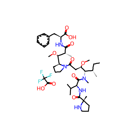 CC[C@H](C)[C@@H]([C@@H](CC(=O)N1CCC[C@H]1[C@H](OC)[C@@H](C)C(=O)N[C@@H](Cc1ccccc1)C(=O)O)OC)N(C)C(=O)[C@@H](NC(=O)[C@]1(C)CCCN1)C(C)C.O=C(O)C(F)(F)F